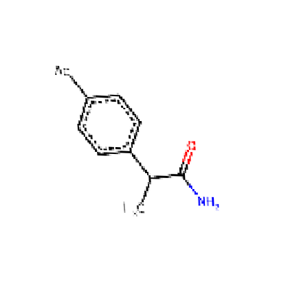 CC(=O)c1ccc(C(C)C(N)=O)cc1